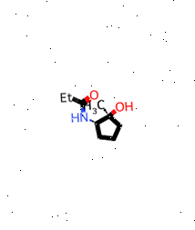 CCC(=O)N[C@H]1CCC[C@]1(C)O